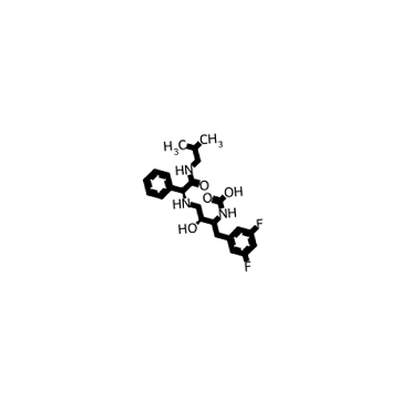 CC(C)CNC(=O)[C@@H](NC[C@H](O)C(Cc1cc(F)cc(F)c1)NC(=O)O)c1ccccc1